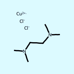 CN(C)CCN(C)C.[Cl-].[Cl-].[Cu+2]